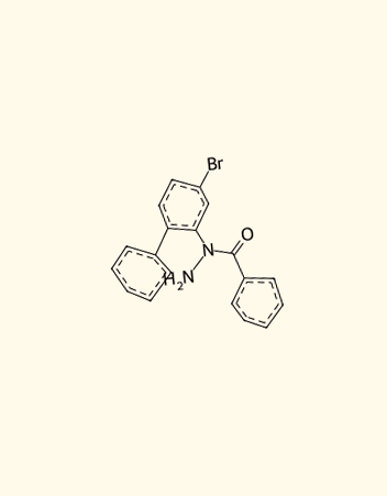 NN(C(=O)c1ccccc1)c1cc(Br)ccc1-c1ccccc1